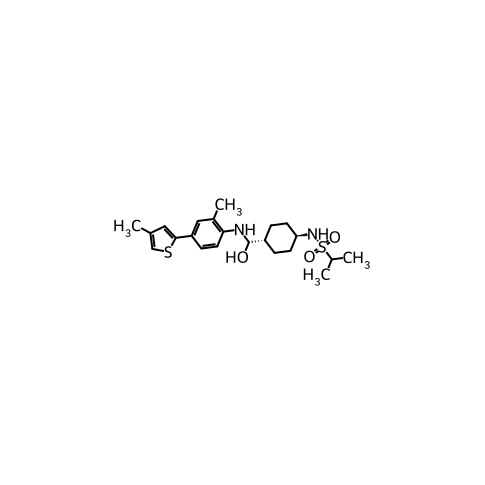 Cc1csc(-c2ccc(NC(O)[C@H]3CC[C@H](NS(=O)(=O)C(C)C)CC3)c(C)c2)c1